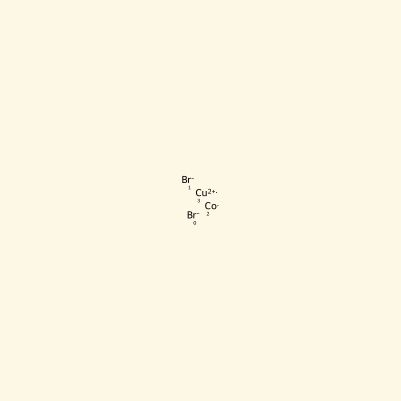 [Br-].[Br-].[Co].[Cu+2]